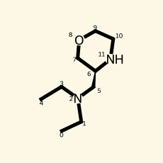 CCN(CC)C[C@H]1COCCN1